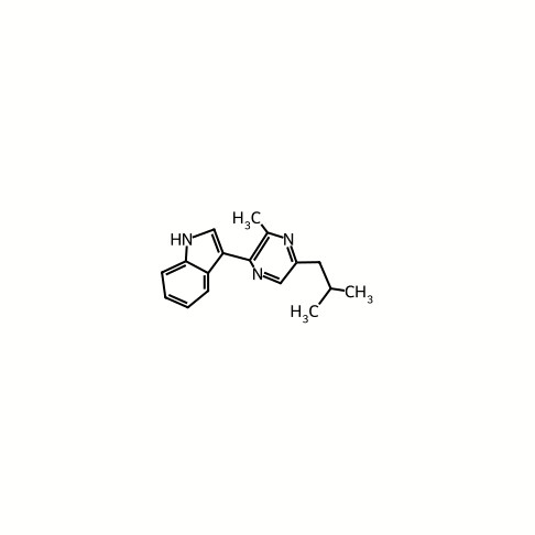 Cc1nc(CC(C)C)cnc1-c1c[nH]c2ccccc12